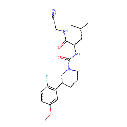 COc1ccc(F)c(C2CCCN(C(=O)NC(CC(C)C)C(=O)NCC#N)C2)c1